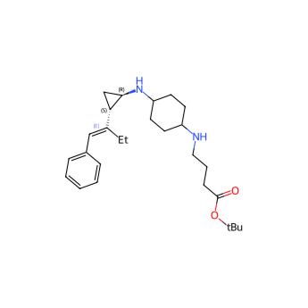 CC/C(=C\c1ccccc1)[C@@H]1C[C@H]1NC1CCC(NCCCC(=O)OC(C)(C)C)CC1